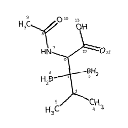 BC(B)(C(C)C)C(NC(C)=O)C(=O)O